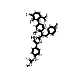 COC(=O)Nc1ccc(-c2c[nH]c(C(Cc3ccc(F)cc3)c3ccc(-c4c(C(F)F)ccc(Cl)c4F)c[n+]3[O-])n2)cc1